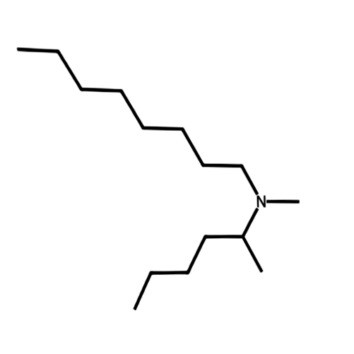 CCCCCCCCN(C)C(C)CCCC